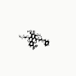 CCOC(=O)C1=C(CO)NC(C)=C(C(=O)OCCOCc2ccccc2)C1c1cccc([N+](=O)[O-])c1